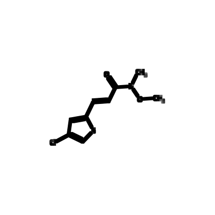 CON(C)C(=O)/C=C/c1cc(Cl)cs1